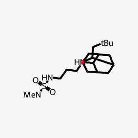 CNS(=O)(=O)NCCCNC1C2CC3CC1CC(C2)C3CC(C)(C)C